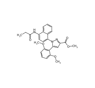 CCC(=O)Nc1ccc(-n2nc(C(=O)OC)cc2-c2c(OC)cccc2OC)c2ccccc12